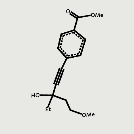 CCC(O)(C#Cc1ccc(C(=O)OC)cc1)CCOC